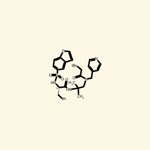 CC(C)C[C@H](NS(=O)(=O)c1ccc2occc2c1)C(=O)NC(C)(C)CN(Cc1ccncc1)C(=O)CC(C)(C)C